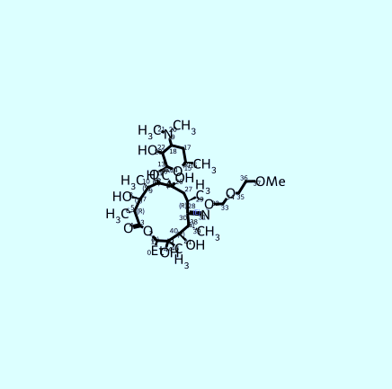 CC[C@H]1OC(=O)[C@H](C)[C@@H](O)[C@H](C)[C@@H](O[C@@H]2O[C@H](C)CC(N(C)C)C2O)[C@](C)(O)C[C@@H](C)/C(=N\OCOCCOC)[C@H](C)[C@@H](O)[C@]1(C)O